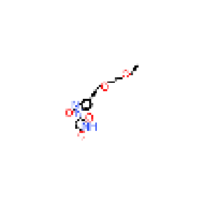 C#CCOCCCCOCC#Cc1ccc2c(c1)n(C)c(=O)n2C1CCC(=O)NC1=O